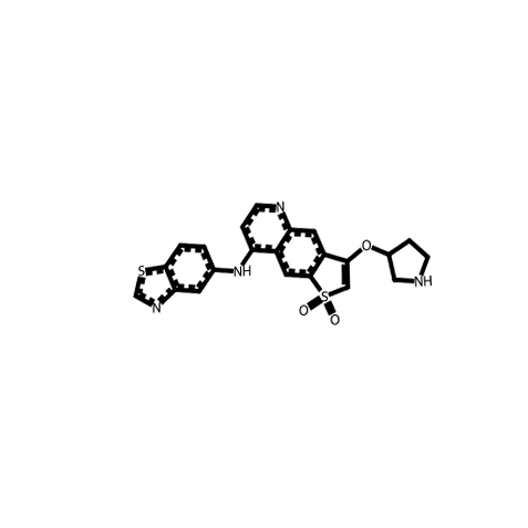 O=S1(=O)C=C(OC2CCNC2)c2cc3nccc(Nc4ccc5scnc5c4)c3cc21